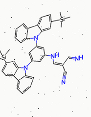 C[Si](C)(C)c1ccc2c3ccccc3n(-c3cc(N/C=C(/C#N)C=N)cc(-n4c5ccccc5c5ccc([Si](C)(C)C)cc54)c3)c2c1